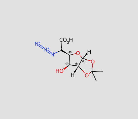 CC1(C)O[C@H]2O[C@H](C(N=[N+]=[N-])C(=O)O)[C@H](O)[C@H]2O1